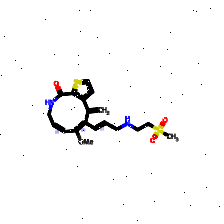 C=C1C(/C=C/CNCCS(C)(=O)=O)=C(OC)\C=C/CNC(=O)c2sccc21